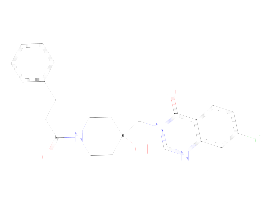 C[C@H](Cc1ccccc1)C(=O)N1CCC(O)(Cn2cnc3cc(Cl)ccc3c2=O)CC1